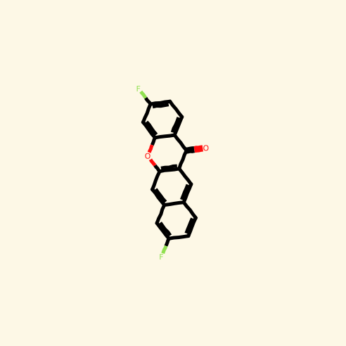 O=c1c2ccc(F)cc2oc2cc3cc(F)ccc3cc12